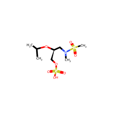 CC(C)O[C@H](COS(=O)(=O)O)CN(C)S(C)(=O)=O